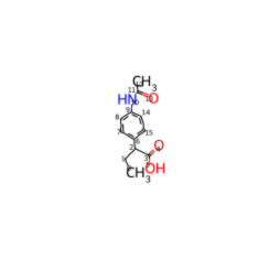 CCC(C(=O)O)c1ccc(NC(C)=O)cc1